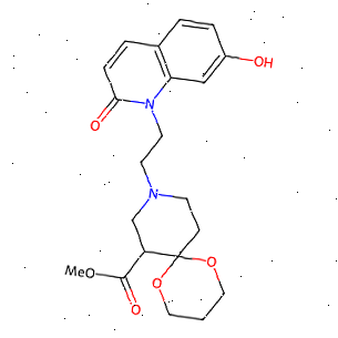 COC(=O)C1CN(CCn2c(=O)ccc3ccc(O)cc32)CCC12OCCCO2